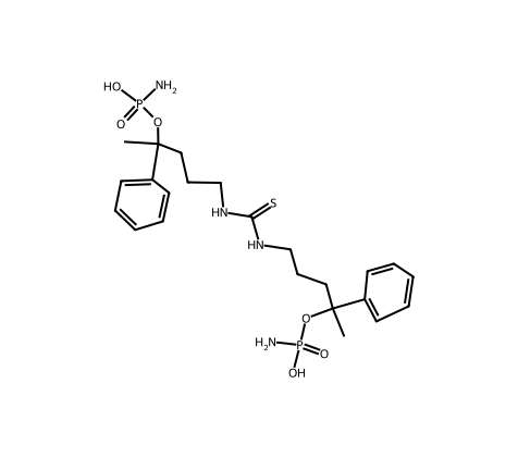 CC(CCCNC(=S)NCCCC(C)(OP(N)(=O)O)c1ccccc1)(OP(N)(=O)O)c1ccccc1